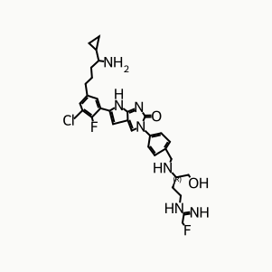 N=C(CF)NCC[C@H](CO)NCc1ccc(-n2cc3cc(-c4cc(CCCC(N)C5CC5)cc(Cl)c4F)[nH]c3nc2=O)cc1